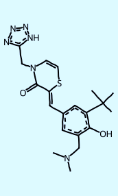 CN(C)Cc1cc(C=C2SC=CN(Cc3nnn[nH]3)C2=O)cc(C(C)(C)C)c1O